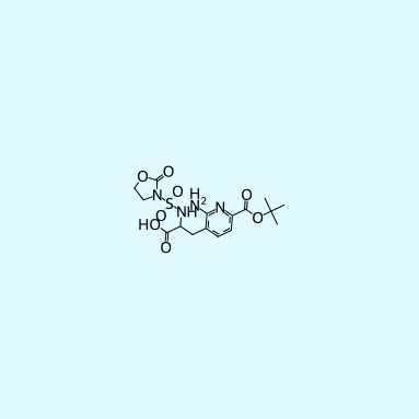 CC(C)(C)OC(=O)c1ccc(CC(NS(=O)(=O)N2CCOC2=O)C(=O)O)c(N)n1